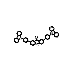 O=c1c2cc(-c3ccc(-n4c5ccccc5c5ccccc54)cc3)ccc2sc2ccc(-c3ccc(-n4c5ccccc5c5ccccc54)cc3)cc12